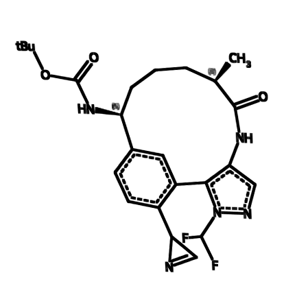 C[C@@H]1CCC[C@H](NC(=O)OC(C)(C)C)c2ccc(C3C=N3)c(c2)-c2c(cnn2C(F)F)NC1=O